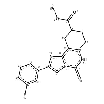 CC(C)OC(=O)C1CCc2[nH]c(=O)n3cc(-c4cccc(F)c4)nc3c2C1